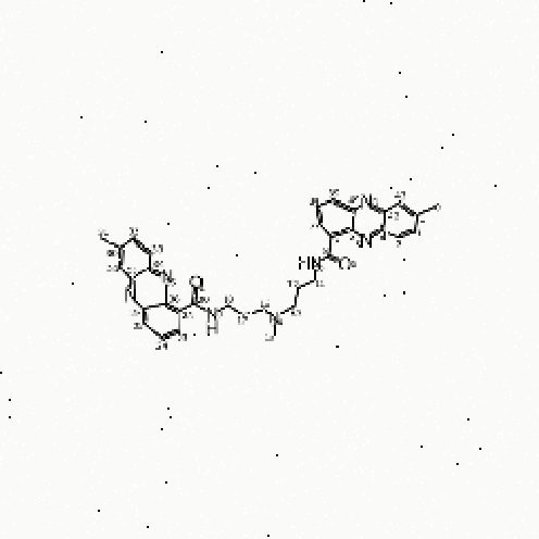 Cc1ccc2nc3c(C(=O)NCCCN(C)CCCNC(=O)c4cccc5nc6cc(C)ccc6nc45)cccc3nc2c1